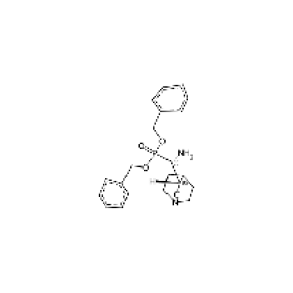 N[C@H]([C@H]1CN2CCC1CC2)P(=O)(OCc1ccccc1)OCc1ccccc1